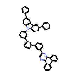 c1ccc(-c2ccc3c(c2)c2cc(-c4ccccc4)ccc2n3-c2cccc(-c3cccc(-c4cccc(-c5cnc6c7ccccc7c7ccccc7c6n5)c4)c3)c2)cc1